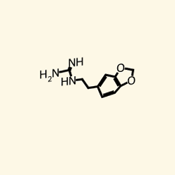 N=C(N)NCCc1ccc2c(c1)OCO2